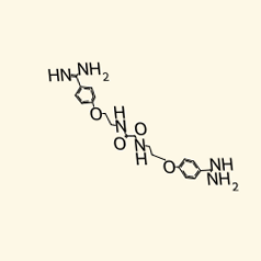 N=C(N)c1ccc(OCCCNC(=O)C(=O)NCCOc2ccc(C(=N)N)cc2)cc1